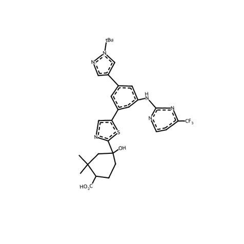 CC1(C)CC(O)(c2ncc(-c3cc(Nc4nccc(C(F)(F)F)n4)cc(-c4cnn(C(C)(C)C)c4)c3)s2)CCC1C(=O)O